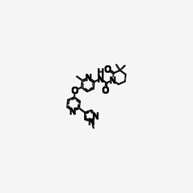 Cc1nc(NC(=O)N2CCCC(C)(C)C2=O)ccc1Oc1ccnc(-c2cnn(C)c2)c1